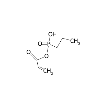 C=CC(=O)OP(=O)(O)CCC